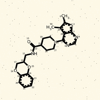 Cc1sc2ncnc(N3CCC(C(=O)NCC4COc5ccccc5O4)CC3)c2c1C